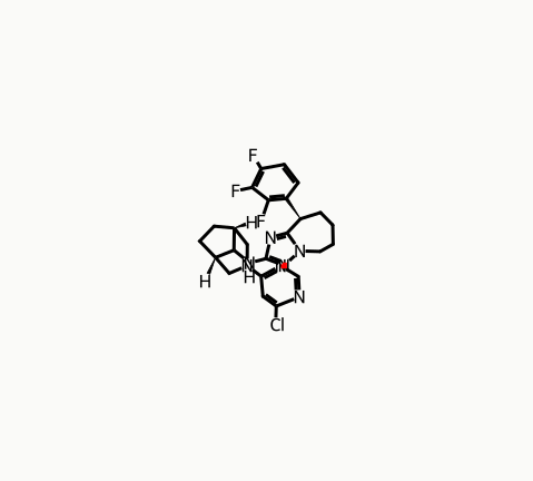 Fc1ccc([C@H]2CCCCn3nc(NC4[C@@H]5CC[C@H]4CN(c4cc(Cl)ncn4)C5)nc32)c(F)c1F